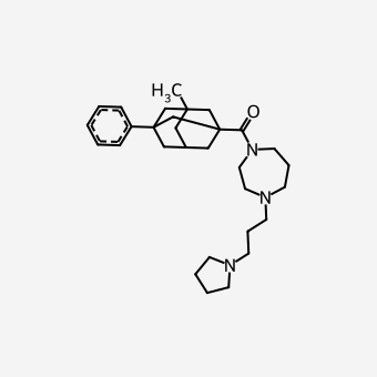 CC12CC3CC(C(=O)N4CCCN(CCCN5CCCC5)CC4)(C1)CC(c1ccccc1)(C3)C2